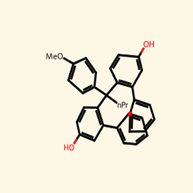 CCCC(c1ccc(OC)cc1)(c1ccc(O)cc1-c1ccccc1)c1ccc(O)cc1-c1ccccc1